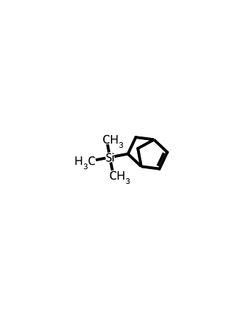 C[Si](C)(C)C1CC2C=CC1C2